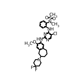 COc1cc2c(cc1Nc1ncc(Cl)c(Nc3ccccc3N(C)S(C)(=O)=O)n1)CCCC(N1CCC(F)(F)CC1)C2